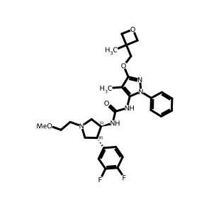 COCCN1C[C@@H](NC(=O)Nc2c(C)c(OCC3(C)COC3)nn2-c2ccccc2)[C@H](c2ccc(F)c(F)c2)C1